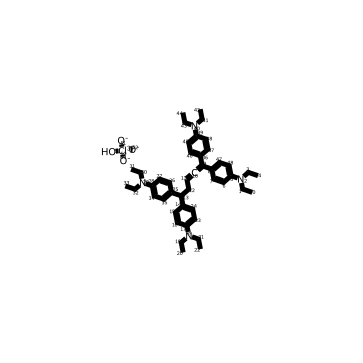 CCN(CC)c1ccc(C(=C=CCC(c2ccc(N(CC)CC)cc2)c2ccc(N(CC)CC)cc2)c2ccc(N(CC)CC)cc2)cc1.[O-][Cl+3]([O-])([O-])O